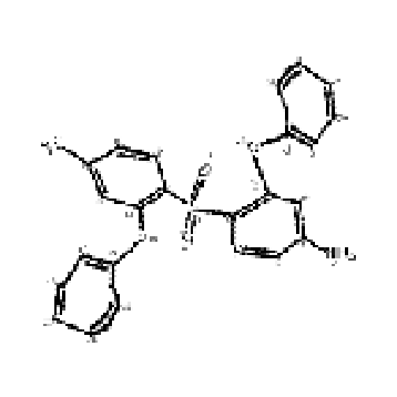 Nc1ccc(S(=O)(=O)c2ccc(N)cc2Oc2ccccc2)c(Oc2ccccc2)c1